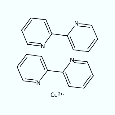 [Cu+2].c1ccc(-c2ccccn2)nc1.c1ccc(-c2ccccn2)nc1